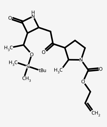 C=CCOC(=O)N1CCC(C(=O)CC2NC(=O)C2C(C)O[Si](C)(C)C(C)(C)C)C1C